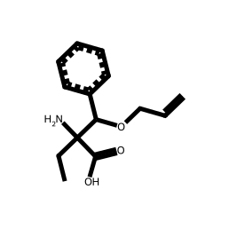 C=CCOC(c1ccccc1)C(N)(CC)C(=O)O